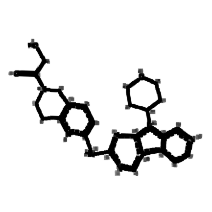 O=C(CO)N1CCc2nc(Nc3ncc4c5ccncc5n(C5CCOCC5)c4n3)ccc2C1